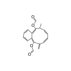 C=C1/C=C\C=C/C(C)/C(OC=O)=c2/cccc/c2=C/1OC=O